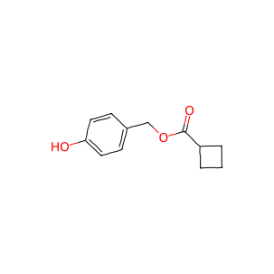 O=C(OCc1ccc(O)cc1)C1CCC1